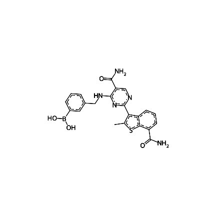 Cc1sc2c(C(N)=O)cccc2c1-c1ncc(C(N)=O)c(NCc2cccc(B(O)O)c2)n1